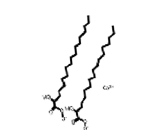 CCCCCCCCCCCCCCCCC(O)C(=O)O[O-].CCCCCCCCCCCCCCCCC(O)C(=O)O[O-].[Ca+2]